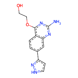 Nc1nc(OCCO)c2ccc(-c3cc[nH]n3)cc2n1